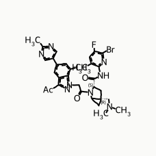 CC(=O)c1nn(CC(=O)N2C3C[C@]3(CN(C)C)C[C@H]2C(=O)Nc2nc(Br)c(F)cc2C)c2c(C)cc(-c3cnc(C)nc3)cc12